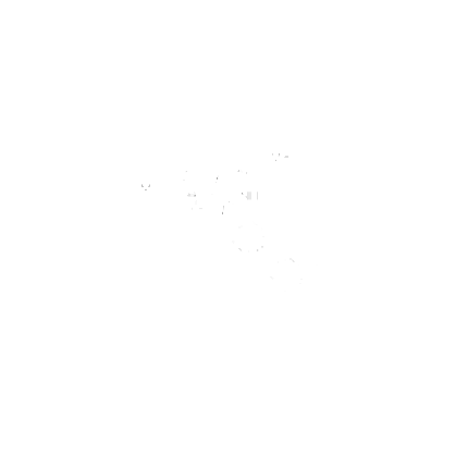 COCC(=O)N[C@@H](Cc1ccc(-c2cc(Cl)cc(Cl)c2)cc1)[C@H](O)[C@@H](O)C(=O)OC